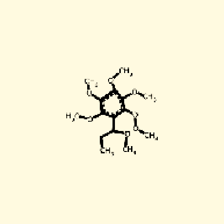 CCC(OC)c1c(OC)c(OC)c(OC)c(OC)c1OOC